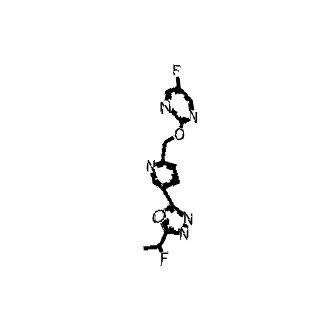 CC(F)c1nnc(-c2ccc(COc3ncc(F)cn3)nc2)o1